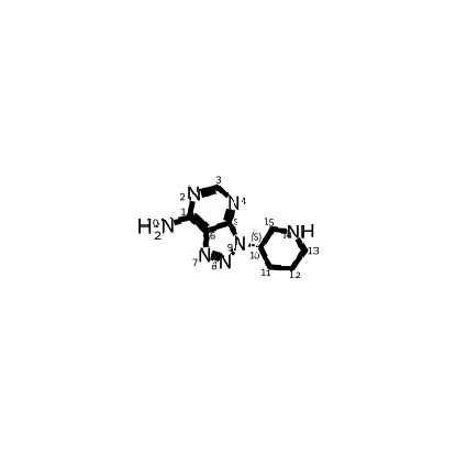 Nc1ncnc2c1nnn2[C@H]1CCCNC1